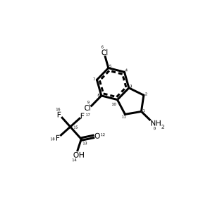 NC1Cc2cc(Cl)cc(Cl)c2C1.O=C(O)C(F)(F)F